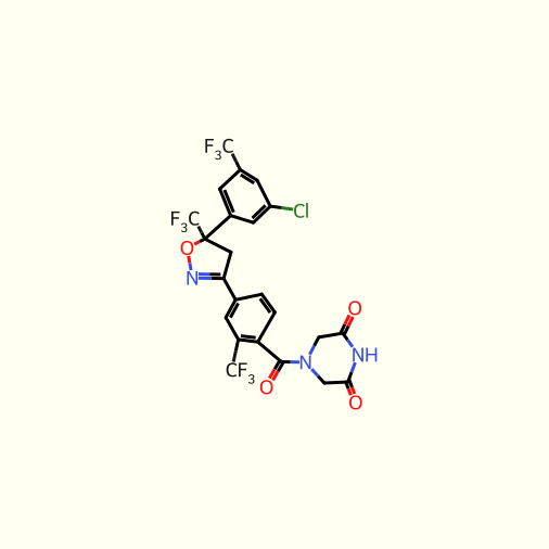 O=C1CN(C(=O)c2ccc(C3=NOC(c4cc(Cl)cc(C(F)(F)F)c4)(C(F)(F)F)C3)cc2C(F)(F)F)CC(=O)N1